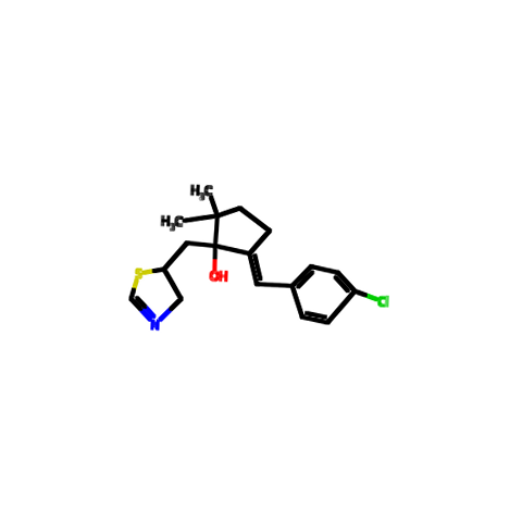 CC1(C)CC/C(=C\c2ccc(Cl)cc2)C1(O)CC1CN=CS1